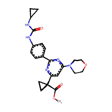 COC(=O)C1(c2cc(N3CCOCC3)nc(-c3ccc(NC(=O)NC4CC4)cc3)n2)CC1